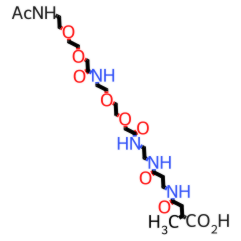 CC(=O)NCCOCCOCC(=O)NCCOCCOCC(=O)NCCNC(=O)CCNC(=O)CC(C)C(=O)O